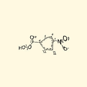 O=C(OO)c1ccc([N+](=O)[O-])cc1